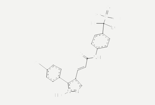 CCC(CC)(c1ccc(NC(=O)/C=C/c2cnn(C)c2-c2ccc(Cl)cc2)cc1)P(=O)(O)O